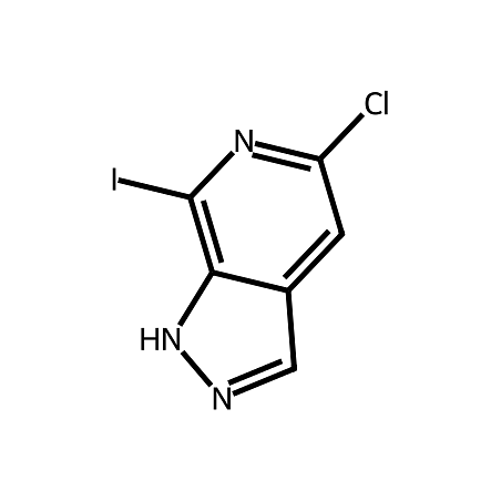 Clc1cc2cn[nH]c2c(I)n1